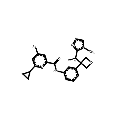 CC(=O)c1cc(C(=O)Nc2cccc(C3([C@@H](F)c4nncn4C)COC3)c2)nc(C2CC2)c1